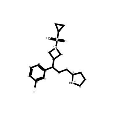 O=S(=O)(C1CC1)N1CC(C(CCC2CCCN2)c2cccc(F)c2)C1